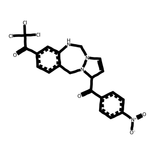 O=C(c1ccc([N+](=O)[O-])cc1)C1C=CN2CNc3cc(C(=O)C(Cl)(Cl)Cl)ccc3CN12